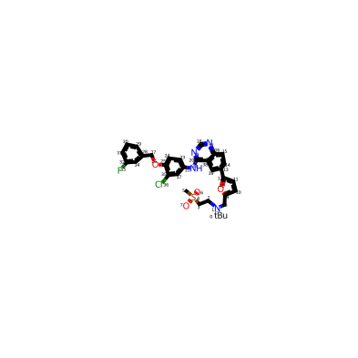 CC(C)(C)N(CCS(C)(=O)=O)Cc1ccc(-c2ccc3ncnc(Nc4ccc(OCc5cccc(F)c5)c(Cl)c4)c3c2)o1